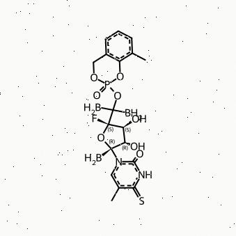 BC(B)(OP1(=O)OCc2cccc(C)c2O1)[C@@]1(F)O[C@@](B)(n2cc(C)c(=S)[nH]c2=O)[C@H](O)[C@@H]1O